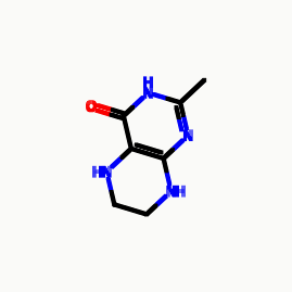 Cc1nc2c(c(=O)[nH]1)NCCN2